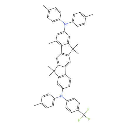 Cc1ccc(N(c2ccc(C(F)(F)F)cc2)c2ccc3c(c2)C(C)(C)c2cc4c(cc2-3)C(C)(C)c2cc(N(c3ccc(C)cc3)c3ccc(C)cc3)cc(C)c2-4)cc1